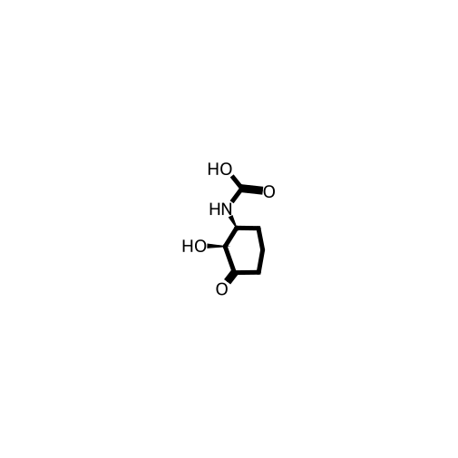 O=C(O)N[C@H]1CCCC(=O)[C@H]1O